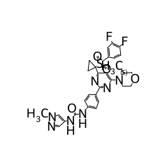 C[C@H]1COCCN1c1cc(C2(S(=O)(=O)c3ccc(F)c(F)c3)CC2)nc(-c2ccc(NC(=O)Nc3cnn(C)c3)cc2)n1